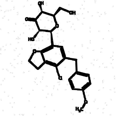 COc1ccc(Cc2cc([C@@H]3O[C@H](CO)[C@@H](O)C(=O)[C@H]3O)c3c(c2Cl)CCO3)cc1